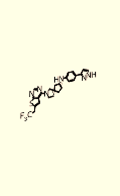 FC(F)(F)Cc1cc2c(N3CC[C@]4(CC[C@H](Nc5ccc(-c6cc[nH]n6)cc5)C4)C3)ncnc2s1